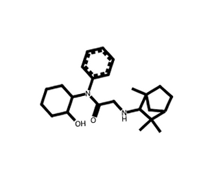 CC12CCC(C1)C(C)(C)C2NCC(=O)N(c1ccccc1)C1CCCCC1O